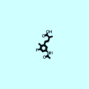 CC(=O)Nc1cc(F)c(C)c(/C=C/C(C)C(=O)O)c1